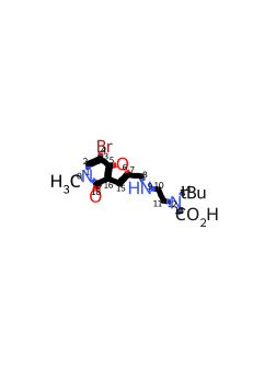 Cn1cc(Br)c2oc(CNCCN(C(=O)O)C(C)(C)C)cc2c1=O